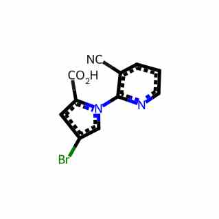 N#Cc1cccnc1-n1cc(Br)cc1C(=O)O